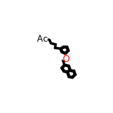 CC(=O)CCCCc1cccc(OCc2ccc3ccccc3c2)c1